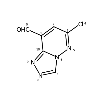 O=Cc1cc(Cl)nn2cnnc12